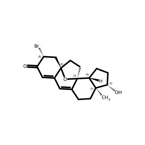 C[C@]12CCC3=CC4=CC(=O)[C@H](Br)C[C@]45CC[C@]3(O5)[C@@H]1CC[C@@H]2O